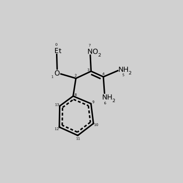 CCOC(C(=C(N)N)[N+](=O)[O-])c1ccccc1